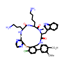 COc1cc(-c2ccc(Cl)c3c2CNC(=O)C(Cc2c[nH]c4ccccc24)N(C)C(=O)C(CCCCN)NC(=O)C(CCCN)NCc2nccnc2S3)ccc1C(=O)O